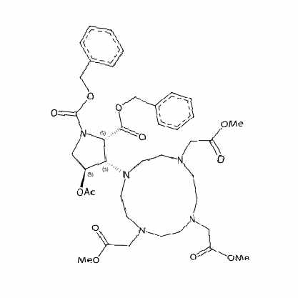 COC(=O)CN1CCN(CC(=O)OC)CCN([C@@H]2[C@@H](OC(C)=O)CN(C(=O)OCc3ccccc3)[C@@H]2C(=O)OCc2ccccc2)CCN(CC(=O)OC)CC1